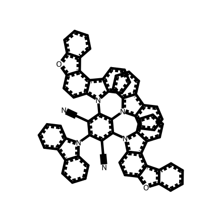 N#Cc1c(-n2c3ccccc3c3ccccc32)c(C#N)c(-n2c3ccccc3c3c4c(ccc32)oc2ccccc24)c(-n2c3ccccc3c3ccccc32)c1-n1c2ccccc2c2c3c(ccc21)oc1ccccc13